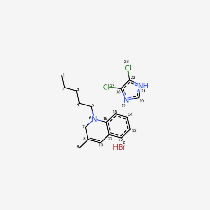 Br.CCCCCN1CC(C)=Cc2ccccc21.Clc1nc[nH]c1Cl